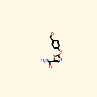 NC(=O)c1cnc(Oc2ccc(C=O)cc2)s1